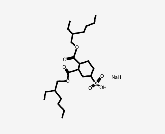 CCCCC(CC)COC(=O)C1CCC(S(=O)(=O)O)CC1C(=O)OCC(CC)CCCC.[NaH]